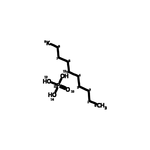 CCCCCCCC[CH2][K].O=P(O)(O)O